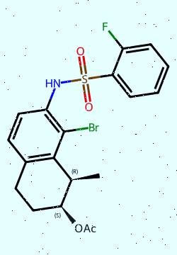 CC(=O)O[C@H]1CCc2ccc(NS(=O)(=O)c3ccccc3F)c(Br)c2[C@H]1C